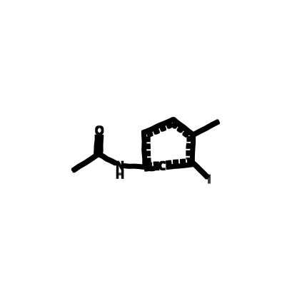 CC(=O)Nc1ccc(C)c(I)c1